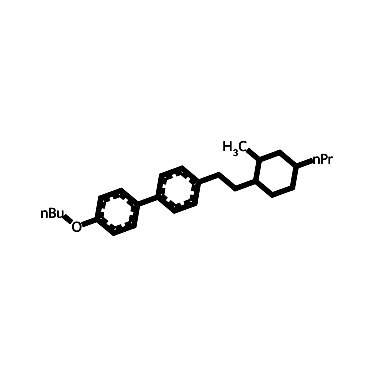 CCCCOc1ccc(-c2ccc(CCC3CCC(CCC)CC3C)cc2)cc1